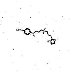 CN(CCC[N+](C)(C)CCSc1ncc[nH]1)c1ccc(C=O)cc1